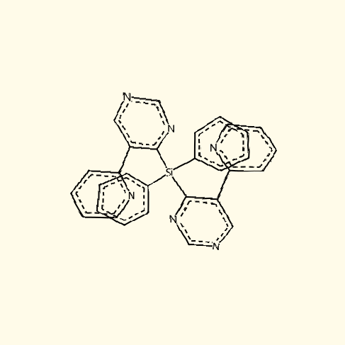 c1ccc([Si](c2ccccc2)(c2ncncc2-c2ccccn2)c2ncncc2-c2ccccn2)cc1